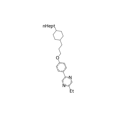 CCCCCCCC1CCC(CCCOc2ccc(-c3cnc(CC)cn3)cc2)CC1